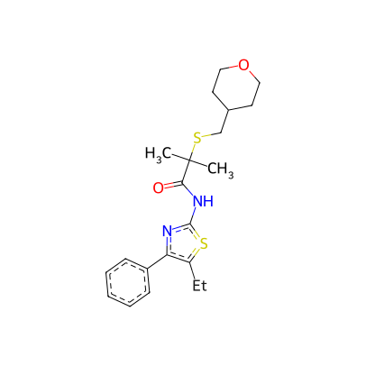 CCc1sc(NC(=O)C(C)(C)SCC2CCOCC2)nc1-c1ccccc1